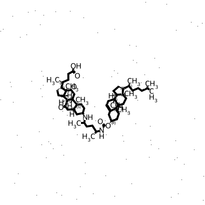 CC(C)CCC[C@H](C)[C@@H]1CC[C@@H]2[C@@]3(C)CC=C4C[C@H](OC(=O)NC(C)CCC(C)NC5CC[C@@]6(C)[C@H](CC(=O)[C@@H]7[C@@H]6CC(=O)[C@]6(C)[C@@H]([C@H](C)CCC(=O)O)CC[C@@H]76)C5)CC[C@@]4(C)[C@@H]3CC[C@]21C